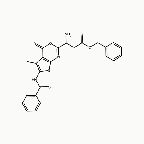 Cc1c(NC(=O)c2ccccc2)sc2nc(C(N)CC(=O)OCc3ccccc3)oc(=O)c12